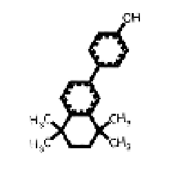 CC1(C)CCC(C)(C)c2cc(-c3ccc(O)cc3)ccc21